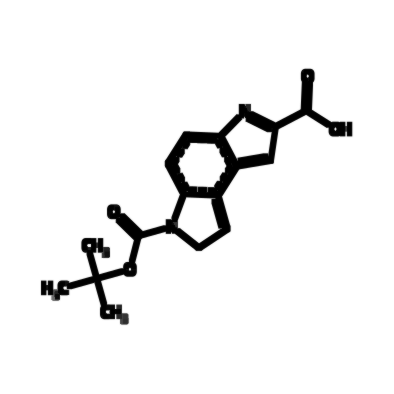 CC(C)(C)OC(=O)N1CC=c2c1ccc1c2=CC(C(=O)O)=N1